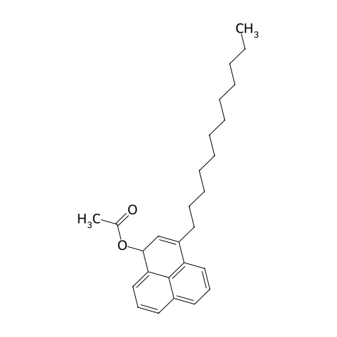 CCCCCCCCCCCCC1=CC(OC(C)=O)c2cccc3cccc1c23